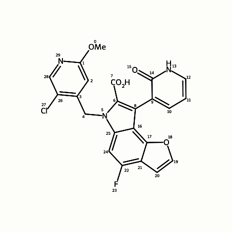 COc1cc(Cn2c(C(=O)O)c(-c3ccc[nH]c3=O)c3c4occc4c(F)cc32)c(Cl)cn1